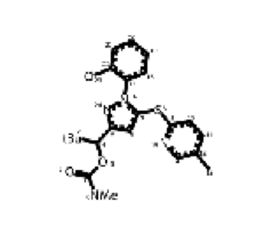 CNC(=O)OC(c1cc(Sc2ccc(C)cn2)n(-c2ccccc2Cl)n1)C(C)(C)C